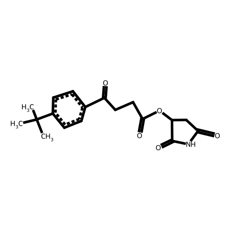 CC(C)(C)c1ccc(C(=O)CCC(=O)OC2CC(=O)NC2=O)cc1